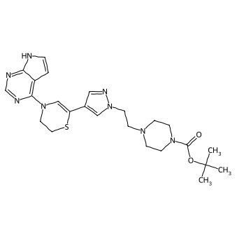 CC(C)(C)OC(=O)N1CCN(CCn2cc(C3=CN(c4ncnc5[nH]ccc45)CCS3)cn2)CC1